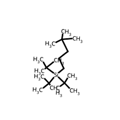 CC(C)(C)CCC[Si](C(C)(C)C)(C(C)(C)C)C(C)(C)C